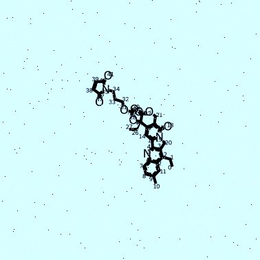 CCc1c2c(nc3ccc(C)cc13)-c1cc3c(c(=O)n1C2)COC(=O)[C@@]3(CC)OC(=O)OCCCN1C(=O)C=CC1=O